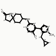 Cn1ncc(-c2nc(NC3CCC4(CCC(=O)N4)CC3)ncc2Cl)c1CC1CC1